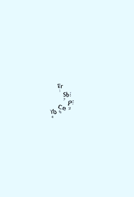 [Ce].[Er].[P].[Sb].[Yb]